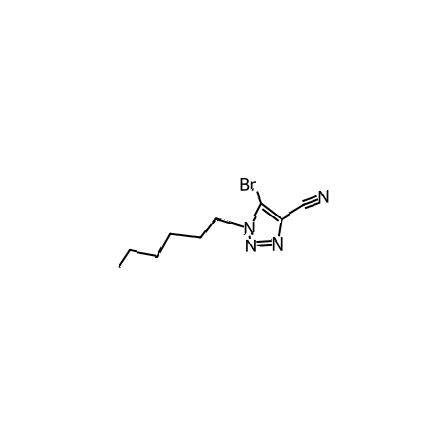 CCCCCCn1nnc(C#N)c1Br